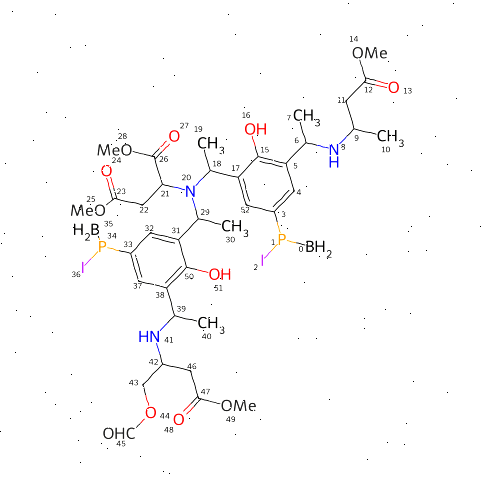 BP(I)c1cc(C(C)NC(C)CC(=O)OC)c(O)c(C(C)N(C(CC(=O)OC)C(=O)OC)C(C)c2cc(P(B)I)cc(C(C)NC(COC=O)CC(=O)OC)c2O)c1